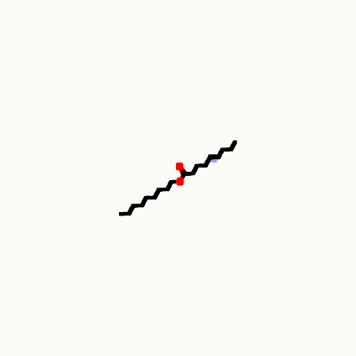 CCC/C=C/CCCC(=O)OCCCCCCCCC